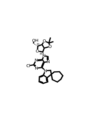 CC1(C)OC2C(O1)[C@@H](CO)O[C@H]2n1cnc2c(N3CC4(CCCCCC4)c4ccccc43)nc(Cl)nc21